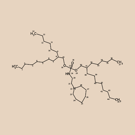 CCCCCCCCC(CCCCCC)COP(=O)(NCCN1CCCCCC1)OCC(CCCCCC)CCCCCCCC